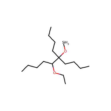 CCCCC(OCC)C(CCCC)(CCCC)O[SiH3]